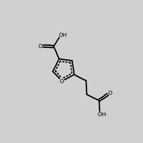 O=C(O)CCc1cc(C(=O)O)co1